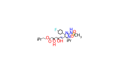 CC(C)CCOC(=O)C[C@H](O)C[C@H](O)/C=C/c1c(-c2ccc(F)cc2)nc(NS(C)(=O)=O)nc1C(C)C